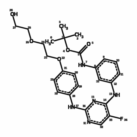 CC(C)(C)OC(=O)Nc1cccc(Nc2nc(Nc3ccc(OCCOCCO)cc3)ncc2F)c1